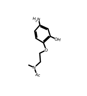 CC(=O)N(C)CCOc1ccc(N)cc1O